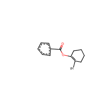 CC(C)C1=C(OC(=O)c2ccccc2)CCCC1